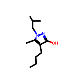 CCCCc1c(O)nn(CC(C)C)c1C